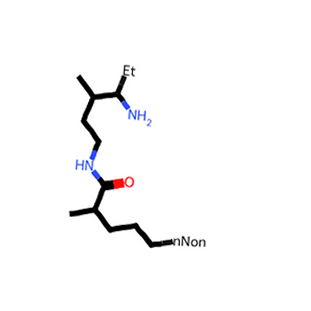 CCCCCCCCCCCCC(C)C(=O)NCCC(C)C(N)CC